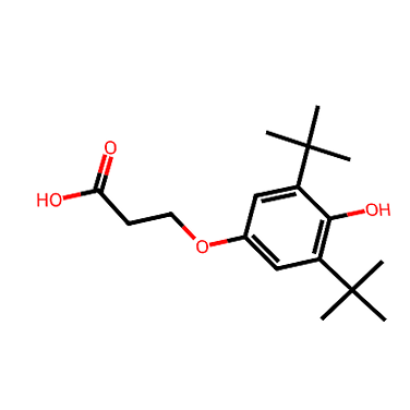 CC(C)(C)c1cc(OCCC(=O)O)cc(C(C)(C)C)c1O